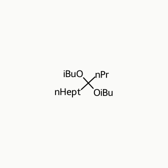 CCCCCCCC(CCC)(OCC(C)C)OCC(C)C